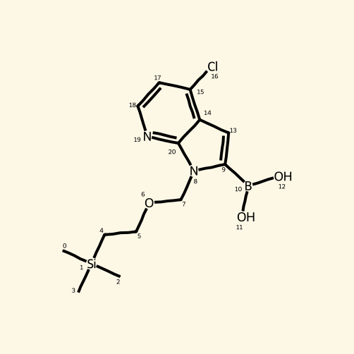 C[Si](C)(C)CCOCn1c(B(O)O)cc2c(Cl)ccnc21